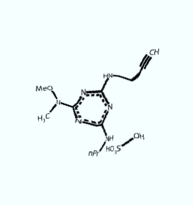 C#CCNc1nc(NCCC)nc(N(C)OC)n1.O=S(=O)(O)O